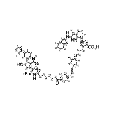 Cc1ncsc1-c1ccc(N(C)C(=O)[C@@H]2C[C@@H](O)CN2C(=O)[C@@H](NC(=O)CCCCCCC(=O)N2CCN(CC#Cc3ccc(OCCCc4sc(N5CCCc6c5nnc(Nc5nc7ccccc7s5)c6C)nc4C(=O)O)c(F)c3)CC2)C(C)(C)C)cc1